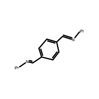 CC(C)/N=C/c1ccc(/C=N/C(C)C)cc1